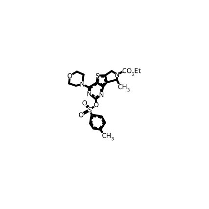 CCOC(=O)N1Cc2sc3c(N4CCOCC4)nc(OS(=O)(=O)c4ccc(C)cc4)nc3c2C1C